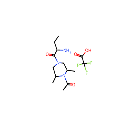 CCC(N)C(=O)N1CC(C)N(C(C)=O)C(C)C1.O=C(O)C(F)(F)F